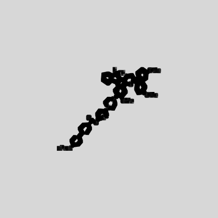 CCCCC[C@H]1CC[C@H]([C@H]2CC[C@H](C(=O)Oc3ccc(N4CCN(c5cc6c7c(c8c(c6cc5OC)OC(c5ccc(OC)cc5)(c5ccc(OC)cc5)C=C8)C(F)(C(F)(F)F)c5ccccc5-7)CC4)cc3)CC2)CC1